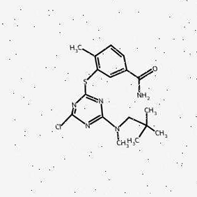 Cc1ccc(C(N)=O)cc1Sc1nc(Cl)nc(N(C)CC(C)(C)C)n1